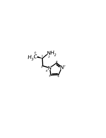 C[C@@H](N)Cn1ccnc1